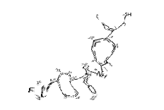 O=C(CS)c1ccc(NS(=O)(=O)c2ccc(C(F)(F)F)cc2)cc1